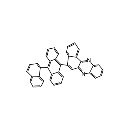 c1ccc2c(-c3c4ccccc4c(-c4cc5nc6ccccc6nc5c5ccccc45)c4ccccc34)cccc2c1